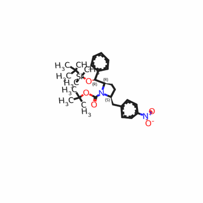 CC(C)(C)OC(=O)N1[C@H](Cc2ccc([N+](=O)[O-])cc2)CC[C@@H]1[C@H](O[Si](C)(C)C(C)(C)C)c1ccccc1